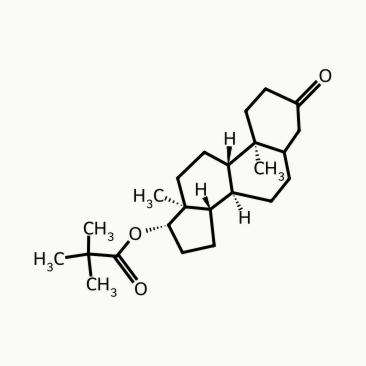 CC(C)(C)C(=O)O[C@H]1CC[C@H]2[C@@H]3CCC4CC(=O)CC[C@]4(C)[C@H]3CC[C@]12C